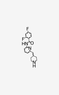 O=C(Nc1cccc(C=C2CCNCC2)n1)c1ccc(F)cc1F